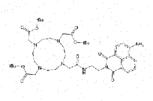 CC(C)(C)OC(=O)CN1CCN(CC(=O)NCCN2C(=O)c3cccc4c(N)ccc(c34)C2=O)CCN(CC(=O)OC(C)(C)C)CCN(CC(=O)OC(C)(C)C)CC1